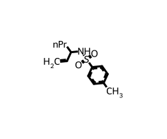 C=CC(CCC)NS(=O)(=O)c1ccc(C)cc1